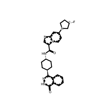 O=C(N[C@H]1CC[C@H](c2n[nH]c(=O)c3ccccc32)CC1)c1cnc2cc(N3CC[C@H](F)C3)ccn12